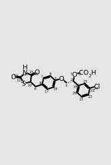 O=C(O)O[C@@H](COc1ccc(CC2SC(=O)NC2=O)cc1)c1cccc(Cl)c1